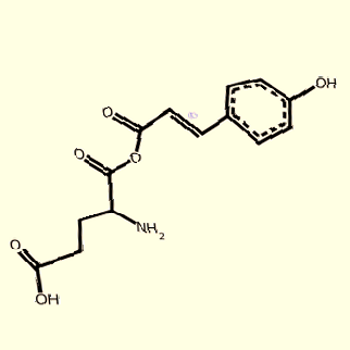 NC(CCC(=O)O)C(=O)OC(=O)/C=C/c1ccc(O)cc1